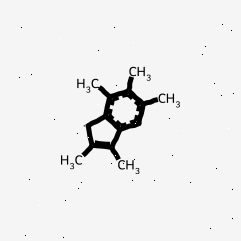 CC1=C(C)c2cc(C)c(C)c(C)c2[CH]1